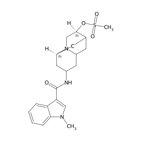 Cn1cc(C(=O)NC2CC3CC4C[C@@H](C2)N3C[C@H]4OS(C)(=O)=O)c2ccccc21